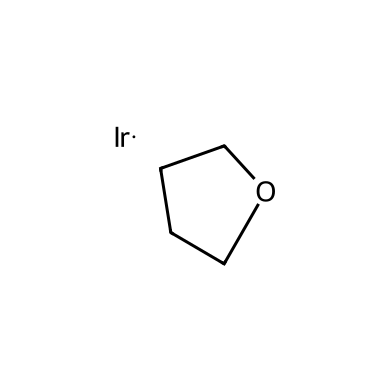 C1CCOC1.[Ir]